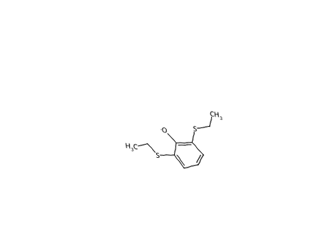 CCSc1cccc(SCC)c1[O]